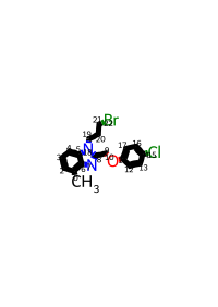 Cc1cccc2c1nc(COc1ccc(Cl)cc1)n2CCCBr